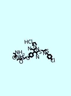 CC(N)C(=O)NC(C)C(=O)OCCOc1ccc(-c2c(C#N)c(SCc3csc(-c4ccc(Cl)cc4)n3)nc(N3CCCC3)c2C#N)cc1.Cl